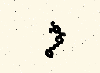 COc1ccc(C(=O)N2CCN(CCCCc3ccccc3)CC2)cc1OC